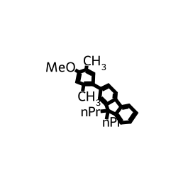 CCCC1(CCC)c2ccccc2-c2ccc(-c3cc(C)c(OC)cc3C)cc21